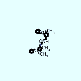 COc1ccc(CCNC(=O)/C=C/c2cc(OCc3ccccc3)c(OC)cc2C)cc1OCc1ccccc1